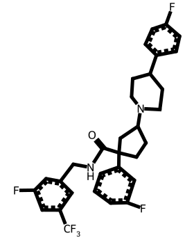 O=C(NCc1cc(F)cc(C(F)(F)F)c1)C1(c2cccc(F)c2)CCC(N2CCC(c3ccc(F)cc3)CC2)C1